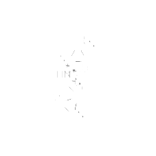 CNC(=O)c1cc(OC)c(S(=O)(=O)Nc2noc3c2CC2(CC2)c2ccc(N4CCC4)cc2-3)c(OC)c1